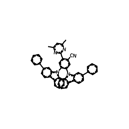 Cc1cc(C)nc(-c2cc(-n3c4ccccc4c4ccc(-c5ccccc5)cc43)c(-n3c4ccccc4c4ccc(-c5ccccc5)cc43)cc2C#N)n1